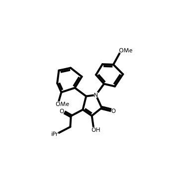 COc1ccc(N2C(=O)C(O)=C(C(=O)CC(C)C)C2c2ccccc2OC)cc1